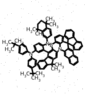 CC(C)(C)c1ccc(N(c2ccc(C(C)(C)C)cc2)c2ccc3c(c2)-c2c4c(cc5c2-c2ccccc2C5(C)C)N2c5cc6ccccc6cc5C5(c6ccccc6-c6ccccc65)c5cccc(c52)B4N3c2ccc3c(c2)C(C)(C)CCC3(C)C)cc1